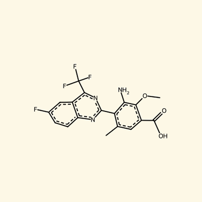 COc1c(C(=O)O)cc(C)c(-c2nc(C(F)(F)F)c3cc(F)ccc3n2)c1N